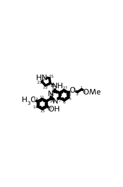 COCCOc1ccc2nc(-c3cc(C)ccc3O)nc(N[C@H]3CCNC3)c2c1